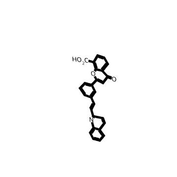 O=C(O)c1cccc2c(=O)cc(-c3cccc(C=Cc4ccc5ccccc5n4)c3)oc12